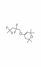 CC(F)(F)CC(F)(F)COC1=CC(C)(C)OC(C)(C)C1